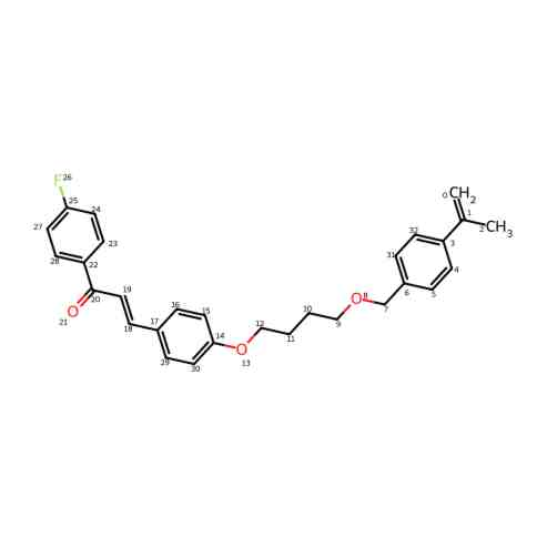 C=C(C)c1ccc(COCCCCOc2ccc(C=CC(=O)c3ccc(F)cc3)cc2)cc1